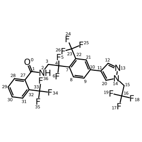 O=C(NCC(F)(F)c1ccc(-c2cnn(CC(F)(F)F)c2)cc1C(F)(F)F)c1ccccc1C(F)(F)F